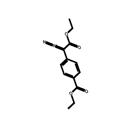 CCOC(=O)C(=[N+]=[N-])c1ccc(C(=O)OCC)cc1